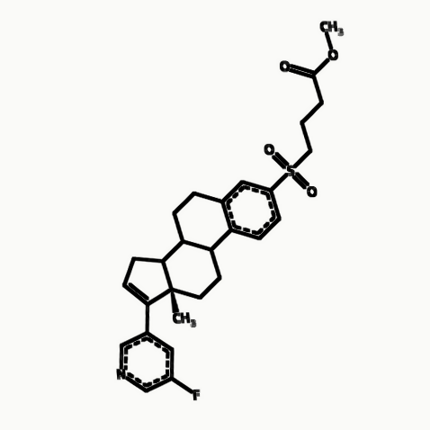 COC(=O)CCCS(=O)(=O)c1ccc2c(c1)CCC1C2CC[C@]2(C)C(c3cncc(F)c3)=CCC12